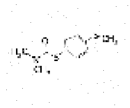 CSc1ccc(SC(=O)N(C)C)cc1